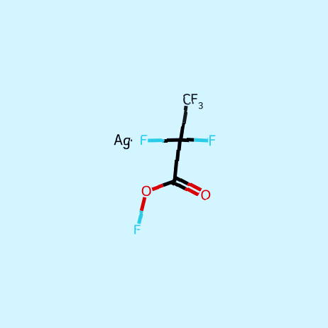 O=C(OF)C(F)(F)C(F)(F)F.[Ag]